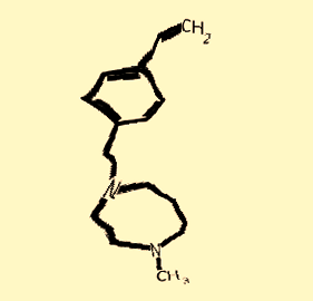 C=Cc1ccc(CN2CCCN(C)CC2)cc1